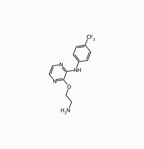 NCCOc1nccnc1Nc1ccc(C(F)(F)F)cc1